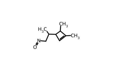 CC1=CC(C(C)CN=O)C1C